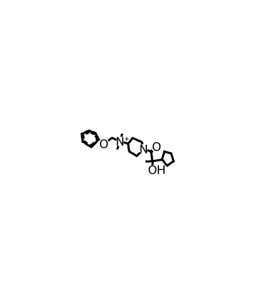 CC(O)(C(=O)N1CCC([N+](C)(C)COc2ccccc2)CC1)C1CCCC1